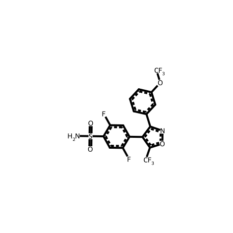 NS(=O)(=O)c1cc(F)c(-c2c(-c3cccc(OC(F)(F)F)c3)noc2C(F)(F)F)cc1F